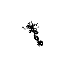 CC1C2CC(C1NS(C)(=O)=O)C1C(=O)N(C[C@H]3CCC[C@@H]3CN3CCC(c4noc5ccccc45)CC3)C(=O)C21